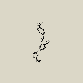 COc1ccc(COc2cn(-c3cccc(Br)n3)ccc2=O)cc1